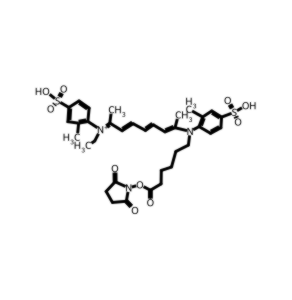 CC\[N+](=C(C)/C=C/C=C/C=C(\C)N(CCCCCC(=O)ON1C(=O)CCC1=O)c1ccc(S(=O)(=O)O)cc1C)c1ccc(S(=O)(=O)O)cc1C